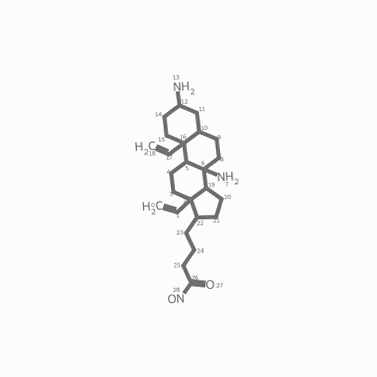 C=CC12CCC3C(N)(CCC4CC(N)CCC43C=C)C1CCC2CCCC(=O)N=O